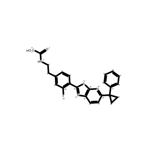 O=C(O)C(=O)NCCc1ccc(-c2nc3ccc(C4(c5ccccc5)CC4)nc3s2)c(F)c1